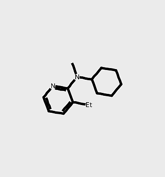 CCc1cccnc1N(C)C1CCCCC1